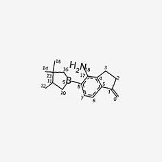 C=C1CCc2c1ccc(B1CC(C)C(C)(C)C1)c2N